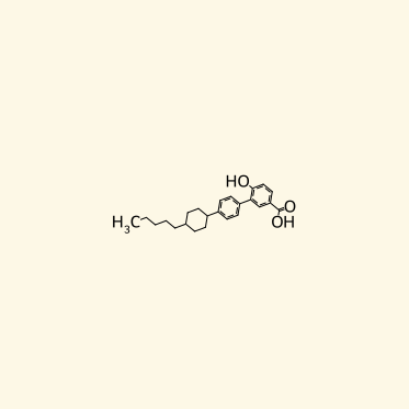 CCCCCC1CCC(c2ccc(-c3cc(C(=O)O)ccc3O)cc2)CC1